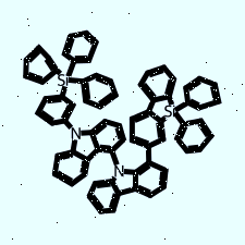 c1ccc([Si](c2ccccc2)(c2ccccc2)c2cccc(-n3c4ccccc4c4c(-n5c6ccccc6c6cccc(-c7ccc8c(c7)[Si](c7ccccc7)(c7ccccc7)c7ccccc7-8)c65)cccc43)c2)cc1